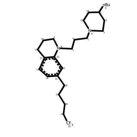 CCCCC1CCN(CCCN2CCCc3ccc(CCCCC(F)(F)F)cc32)CC1